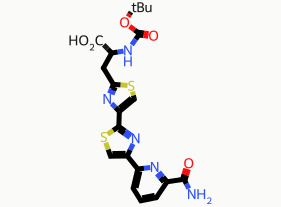 CC(C)(C)OC(=O)NC(Cc1nc(-c2nc(-c3cccc(C(N)=O)n3)cs2)cs1)C(=O)O